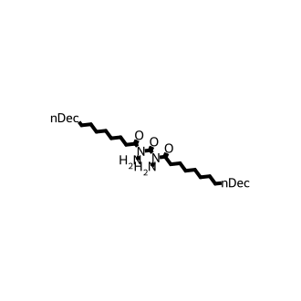 CCCCCCCCCCCCCCCCCC(=O)N(N)C(=O)N(N)C(=O)CCCCCCCCCCCCCCCCC